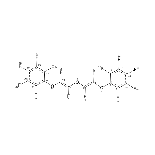 FC(OC(F)=C(F)Oc1c(F)c(F)c(F)c(F)c1F)=C(F)Oc1c(F)c(F)c(F)c(F)c1F